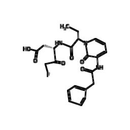 CCC(C(=O)N[C@@H](CC(=O)O)C(=O)CF)n1cccc(NC(=O)Cc2ccccc2)c1=O